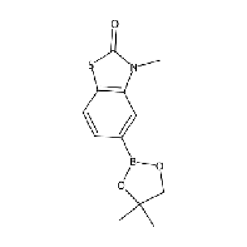 Cn1c(=O)sc2ccc(B3OCC(C)(C)O3)cc21